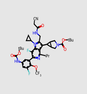 CC(C)c1nc(-c2cc(NC(=O)OC(C)(C)C)cc(F)c2OC(F)(F)F)c(F)c2c1c(C1C3CN(C(=O)OC(C)(C)C)CC31)c(CNC(=O)CC#N)n2C1CC1